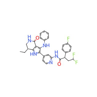 CCC1CNC(=O)c2c1[nH]c(-c1ccnc(NC(=O)C(CC(F)F)c3ccc(F)cc3)c1)c2Nc1ccccc1